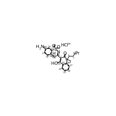 CC(C)CCC1(C)C(=O)C(C2=NS(=O)(=O)c3cc(N)ccc3N2)=C(O)c2ccccc21.Cl